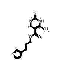 CC1=C(C(=O)OCCCc2ccsc2)CNC(=S)N1